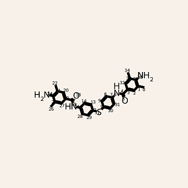 Cc1cc(C(=O)Nc2ccc(Sc3ccc(NC(=O)c4cc(C)c(N)c(C)c4)cc3)cc2)cc(C)c1N